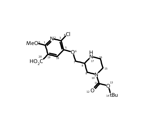 COc1nc(Cl)c(OCC2CN(C(=O)OC(C)(C)C)CCN2)cc1C(=O)O